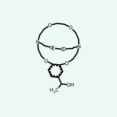 CC(O)c1ccc2c(c1)OCCN1CCOCCOCCN(CCOCCOCC1)CCO2